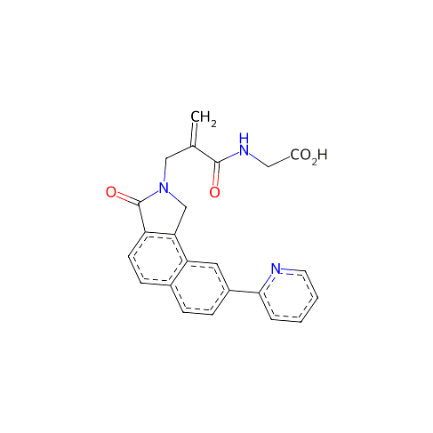 C=C(CN1Cc2c(ccc3ccc(-c4ccccn4)cc23)C1=O)C(=O)NCC(=O)O